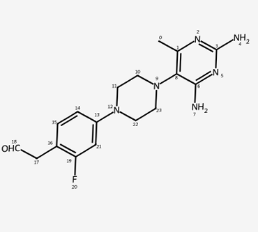 Cc1nc(N)nc(N)c1N1CCN(c2ccc(CC=O)c(F)c2)CC1